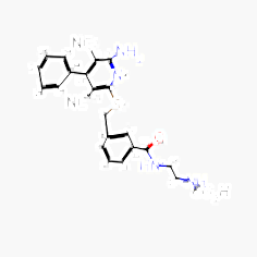 N#Cc1c(N)nc(SCc2cccc(C(=O)NCCNC(=O)O)c2)c(C#N)c1-c1ccccc1